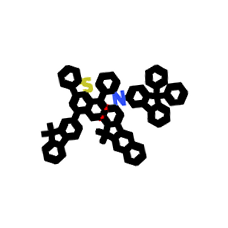 CC1(C)c2ccccc2-c2ccc(-c3cc4c5ccccc5sc4c4c(-c5ccccc5N(c5ccc6c(c5)-c5cc7ccccc7cc5C6(C)C)c5ccc6c(c5)-c5ccccc5C6(c5ccccc5)c5ccccc5)cccc34)cc21